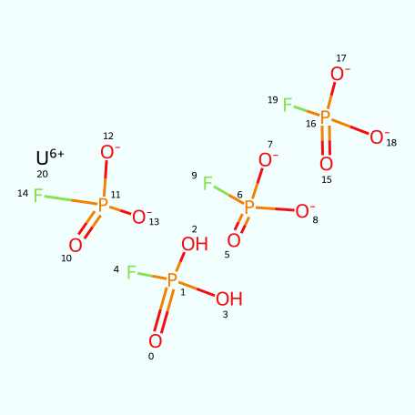 O=P(O)(O)F.O=P([O-])([O-])F.O=P([O-])([O-])F.O=P([O-])([O-])F.[U+6]